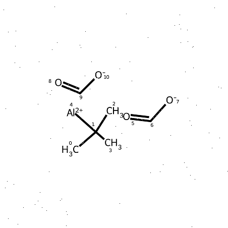 C[C](C)(C)[Al+2].O=C[O-].O=C[O-]